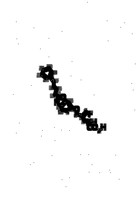 O=C(O)NCC(=CF)COc1ccc2nc(CCCCc3ccccc3)oc2c1